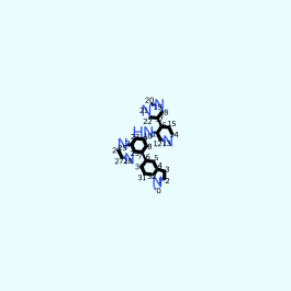 Cn1ccc2cc(-c3cc(Nc4cnccc4-c4cncnc4)cc4nccnc34)ccc21